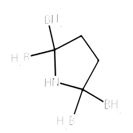 BC1(B)CCC(B)(B)N1